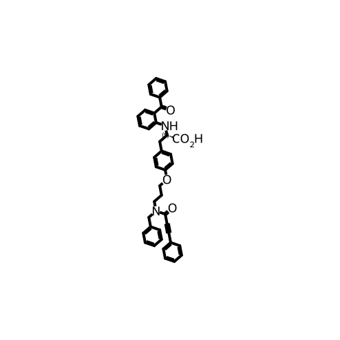 O=C(c1ccccc1)c1ccccc1N[C@@H](Cc1ccc(OCCCN(Cc2ccccc2)C(=O)C#Cc2ccccc2)cc1)C(=O)O